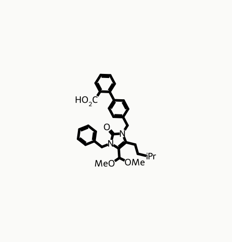 COC(OC)c1c(CCC(C)C)n(Cc2ccc(-c3ccccc3C(=O)O)cc2)c(=O)n1Cc1ccccc1